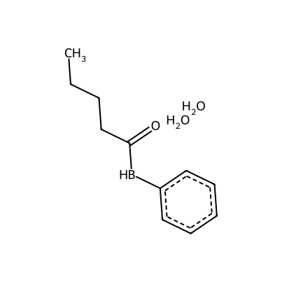 CCCCC(=O)Bc1ccccc1.O.O